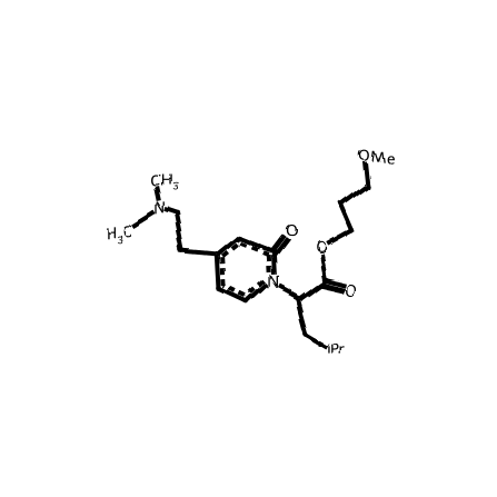 COCCCOC(=O)C(CC(C)C)n1ccc(CCN(C)C)cc1=O